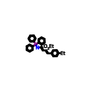 CCOC(=O)/C(=C\C=C\c1ccc(CC)cc1)N=P(c1ccccc1)(c1ccccc1)c1ccccc1